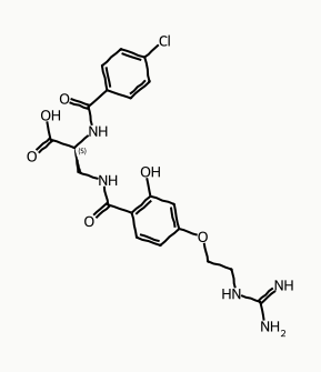 N=C(N)NCCOc1ccc(C(=O)NC[C@H](NC(=O)c2ccc(Cl)cc2)C(=O)O)c(O)c1